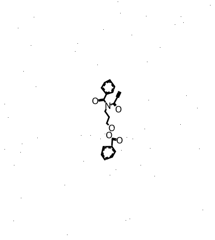 C#CC(=O)N(CCCOOC(=O)c1ccccc1)C(=O)c1ccccc1